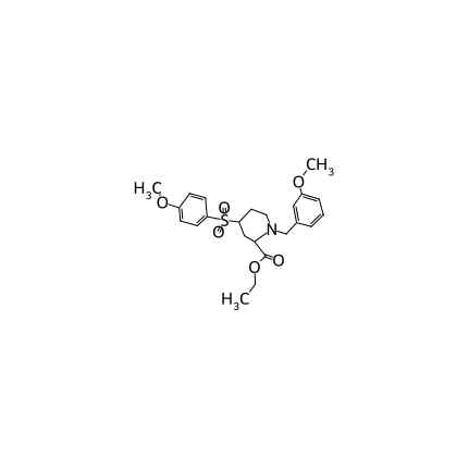 CCOC(=O)C1CC(S(=O)(=O)c2ccc(OC)cc2)CCN1Cc1cccc(OC)c1